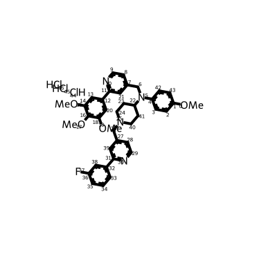 COc1ccc(N(Cc2ccnc(-c3cc(OC)c(OC)c(OC)c3)c2)C2CCN(Cc3ccnc(-c4cccc(F)c4)c3)CC2)cc1.Cl.Cl.Cl